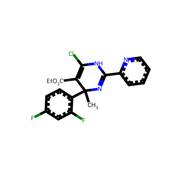 CCOC(=O)C1=C(Cl)NC(c2ccccn2)=NC1(C)c1ccc(F)cc1F